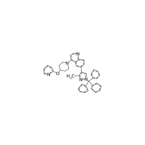 Cc1nn(C(c2ccccc2)(c2ccccc2)c2ccccc2)cc1-c1ccc2nccc(N3CCC(Oc4ccccn4)CC3)c2c1